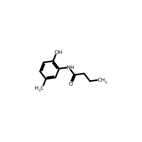 CCCC(=O)Nc1cc(C)ccc1O